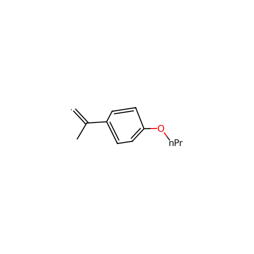 [CH]=C(C)c1ccc(OCCC)cc1